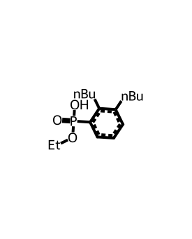 CCCCc1cccc(P(=O)(O)OCC)c1CCCC